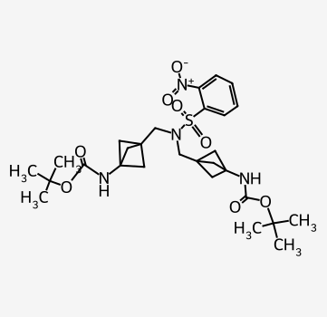 CC(C)(C)OC(=O)NC12CC(CN(CC34CC(NC(=O)OC(C)(C)C)(C3)C4)S(=O)(=O)c3ccccc3[N+](=O)[O-])(C1)C2